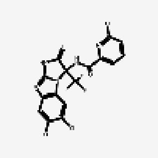 O=C(NC1(C(F)(F)F)C(=O)Nc2nc3cc(Cl)c(Cl)cc3n21)c1cccc(Cl)n1